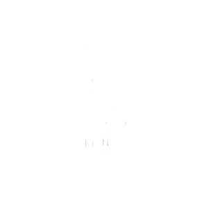 CCN(c1ccc2c(c1)-c1cc(C)c(-c3ccccc3)cc1C2)C1CCCCC1